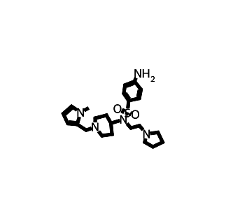 Cn1cccc1CN1CCC(N(CCN2CCCC2)S(=O)(=O)c2ccc(N)cc2)CC1